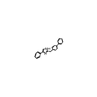 c1ccc(-c2ccc(Cc3nc(-c4ccccc4)c[nH]3)cc2)cc1